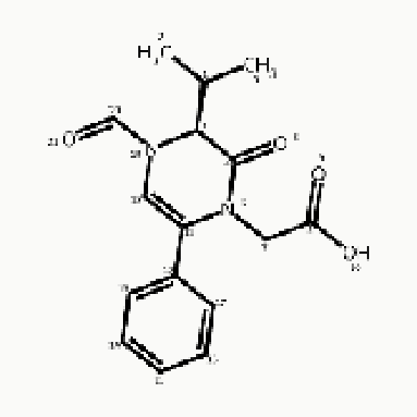 CC(C)[C@H]1C(=O)N(CC(=O)O)C(c2ccccc2)=CN1C=O